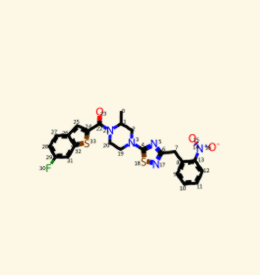 CC1CN(c2nc(Cc3ccccc3[N+](=O)[O-])ns2)CCN1C(=O)c1cc2ccc(F)cc2s1